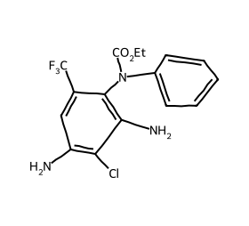 CCOC(=O)N(c1ccccc1)c1c(C(F)(F)F)cc(N)c(Cl)c1N